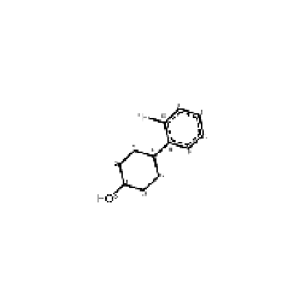 OC1CCC(c2c[c]ccc2F)CC1